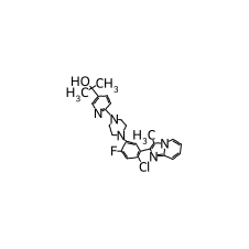 Cc1c(-c2cc(N3CCN(c4ccc(C(C)(C)O)cn4)CC3)c(F)cc2Cl)nc2ccccn12